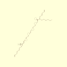 CCCCCCCNCCOCCOCCOCCOCC(=O)C(CCCCC)CCCCCC